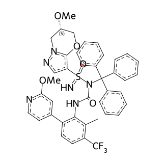 COc1cc(-c2ccc(C(F)(F)F)c(C)c2NC(=O)N(C(c2ccccc2)(c2ccccc2)c2ccccc2)S(=N)(=O)c2cnn3c2OC[C@@H](OC)C3)ccn1